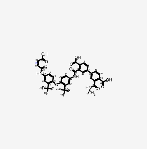 CNC(=O)c1cc(-c2ccc(C(=O)O)c(C(=O)Nc3ccc(Oc4ccc(NC(=O)/C=C\C(=O)O)cc4C(F)(F)F)c(C(F)(F)F)c3)c2)ccc1C(=O)O